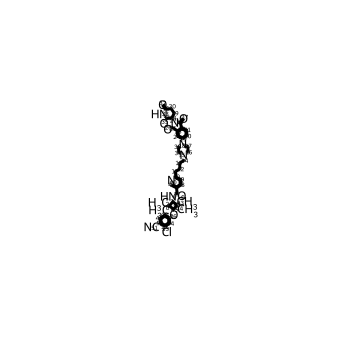 CC1(C)[C@H](NC(=O)c2ccc(CCCCN3CCN(c4ccc5c(c4)C(=O)N(C4CCC(=O)NC4=O)C5=O)CC3)nc2)C(C)(C)[C@H]1Oc1ccc(C#N)c(Cl)c1